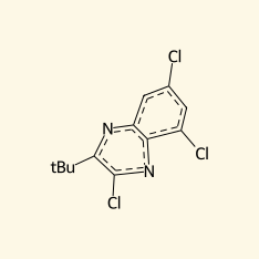 CC(C)(C)c1nc2cc(Cl)cc(Cl)c2nc1Cl